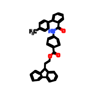 O=C(OCCC1c2ccccc2-c2ccccc21)c1ccc(NC(=O)c2ccccc2-c2ccc(C(F)(F)F)cc2)cc1